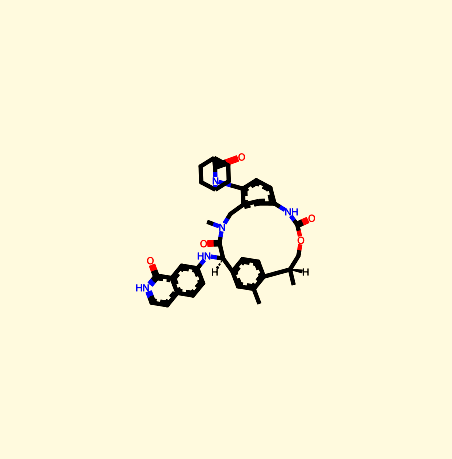 Cc1cc2ccc1[C@@H](C)COC(=O)Nc1ccc(N3C(=O)C4CCC3CC4)c(c1)CN(C)C(=O)[C@@H]2Nc1ccc2cc[nH]c(=O)c2c1